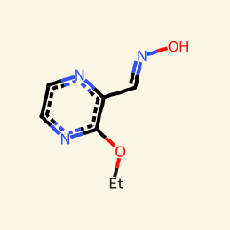 CCOc1nccnc1/C=N/O